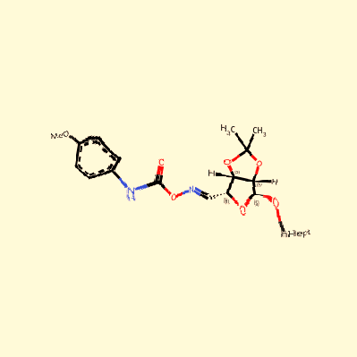 CCCCCCCO[C@H]1O[C@H](C=NOC(=O)Nc2ccc(OC)cc2)[C@@H]2OC(C)(C)O[C@H]12